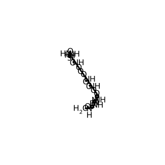 C=CC(=O)Nc1ccc(Nc2nc(Nc3ccc(OCCOCCNC(=O)CCCC(=O)NCCCOCCOCCOCCCNC(=O)CCCC4SC[C@@H]5NC(=O)N[C@H]45)cc3)ncc2F)cc1